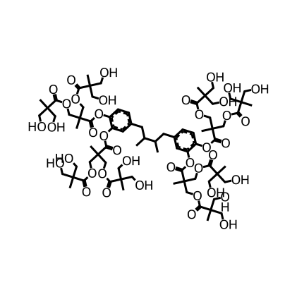 CC(Cc1ccc(OC(=O)C(C)(COC(=O)C(C)(CO)CO)COC(=O)C(C)(CO)CO)c(OC(=O)C(C)(COC(=O)C(C)(CO)CO)COC(=O)C(C)(CO)CO)c1)C(C)Cc1ccc(OC(=O)C(C)(COC(=O)C(C)(CO)CO)COC(=O)C(C)(CO)CO)c(OC(=O)C(C)(COC(=O)C(C)(CO)CO)COC(=O)C(C)(CO)CO)c1